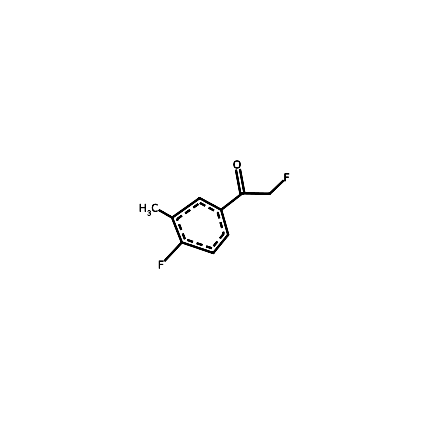 Cc1cc(C(=O)CF)ccc1F